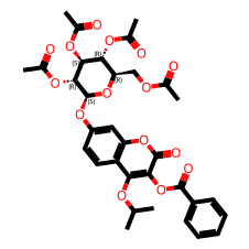 CC(=O)OC[C@H]1O[C@@H](Oc2ccc3c(OC(C)C)c(OC(=O)c4ccccc4)c(=O)oc3c2)[C@H](OC(C)=O)[C@@H](OC(C)=O)[C@@H]1OC(C)=O